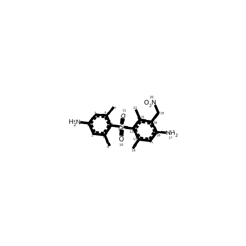 Cc1cc(N)cc(C)c1S(=O)(=O)c1c(C)cc(N)c(C[N+](=O)[O-])c1C